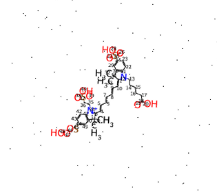 CC1(C)C(/C=C/C=C/C=C/C=C2/N(CCCCCC(=O)O)c3ccc(S(=O)(=O)O)cc3C2(C)C)=[N+](CCS(=O)(=O)O)c2ccc(SOOO)cc21